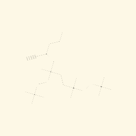 C#CC(CCC)CC(C)(CCC(C)(C)OOC(C)(C)C)OOC(C)(C)C